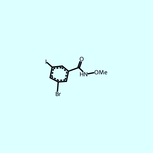 CONC(=O)c1cc(Br)cc(I)c1